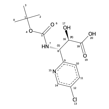 CC(C)(C)OC(=O)N[C@@H](c1ccc(Cl)cn1)[C@@H](O)C(=O)O